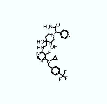 NC(=O)C(c1ccncc1)N1CC[C@@](O)(CNc2ncnc(N(Cc3ccc(C(F)(F)F)cc3)C3CC3)c2F)[C@H](O)C1